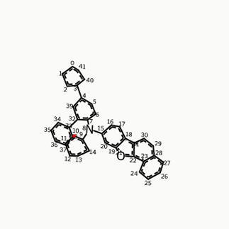 c1ccc(-c2ccc(N(c3ccccc3)c3ccc4c(c3)oc3c5ccccc5ccc43)c(-c3ccccc3)c2)cc1